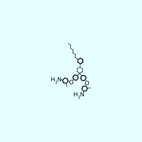 CCCCCCCc1cccc(C2CCC(c3ccc(Oc4ccc(N)cc4C)cc3)(c3ccc(Oc4ccc(N)cc4C)cc3)CC2)c1